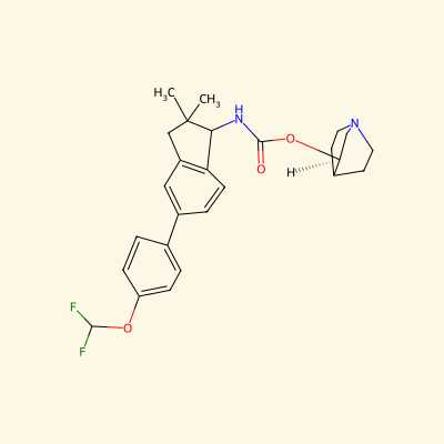 CC1(C)Cc2cc(-c3ccc(OC(F)F)cc3)ccc2C1NC(=O)O[C@H]1CN2CCC1CC2